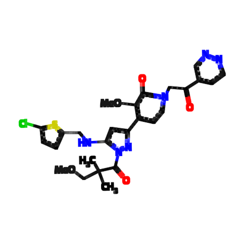 COCC(C)(C)C(=O)n1nc(-c2ccn(CC(=O)c3ccnnc3)c(=O)c2OC)cc1NCc1ccc(Cl)s1